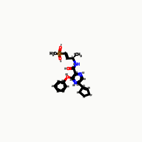 C[C@@H](/C=C/S(C)(=O)=O)NC(=O)c1ncc(C2=CCCC2)nc1Oc1ccccc1